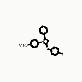 COc1ccc(N2/C(=N/c3ccc(I)cc3)CC2c2ccccc2)cc1